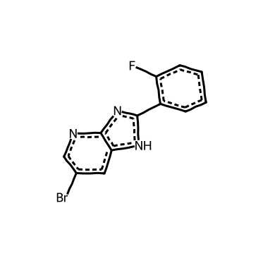 Fc1ccccc1-c1nc2ncc(Br)cc2[nH]1